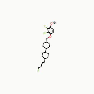 CCOc1ccc(OCC2CCC(C3CCC(/C=C/CCF)CC3)CC2)c(F)c1F